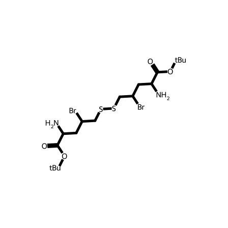 CC(C)(C)OC(=O)C(N)CC(Br)CSSCC(Br)CC(N)C(=O)OC(C)(C)C